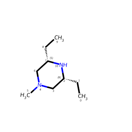 CC[C@@H]1CN(C)C[C@H](CC)N1